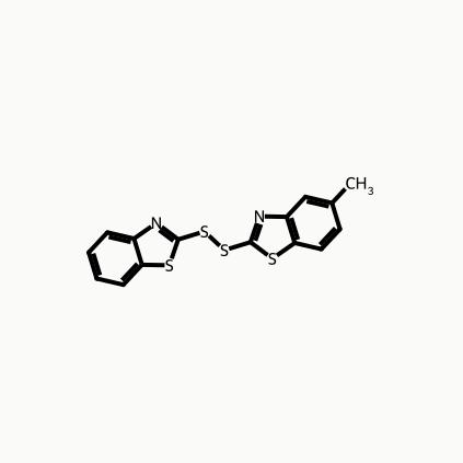 Cc1ccc2sc(SSc3nc4ccccc4s3)nc2c1